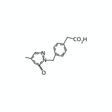 Cc1cnn(Cc2ccc(CC(=O)O)cc2)c(=O)c1